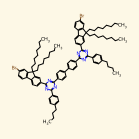 CCCCCCCCC1(CCCCCCCC)c2cc(Br)ccc2-c2ccc(-c3nc(-c4ccc(CCCC)cc4)nc(-c4ccc(-c5ccc(-c6nc(-c7ccc(CCCC)cc7)nc(-c7ccc8c(c7)C(CCCCCCCC)(CCCCCCCC)c7cc(Br)ccc7-8)n6)cc5)cc4)n3)cc21